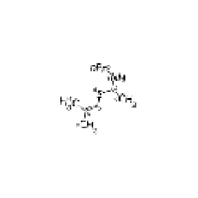 CCCNC(C)SC=C(C)C